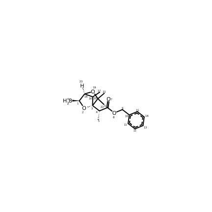 B[C@@H]1O[C@]2([C@@H](C)C(=O)OCc3ccccc3)C(C)[C@@H]1OC2(C)C